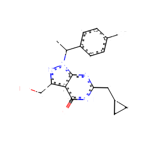 CC(c1ccc(C(F)(F)F)cc1)n1nc(CO)c2c(=O)[nH]c(CC3CC3)nc21